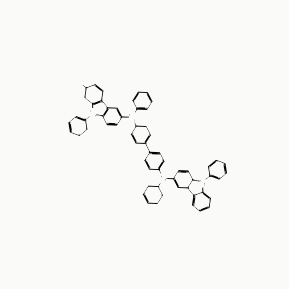 CC1C=Cc2c(n(C3=CC=CCC3)c3ccc(N(c4ccccc4)C4C=CC(c5ccc(N(C6=CC7c8ccccc8N(c8ccccc8)C7C=C6)C6CC=CCC6)cc5)=CC4)cc23)C1